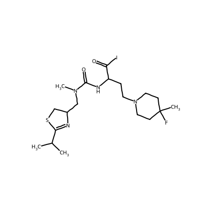 CC(C)C1=NC(CN(C)C(=O)NC(CCN2CCC(C)(F)CC2)C(=O)I)CS1